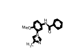 COc1ccc(NC(=O)c2ccccc2)cc1-n1cnc(C)c1